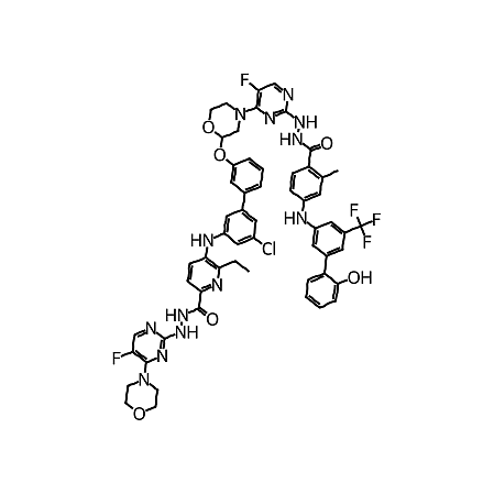 CCc1nc(C(=O)NNc2ncc(F)c(N3CCOCC3)n2)ccc1Nc1cc(Cl)cc(-c2cccc(OC3CN(c4nc(NNC(=O)c5ccc(Nc6cc(-c7ccccc7O)cc(C(F)(F)F)c6)cc5C)ncc4F)CCO3)c2)c1